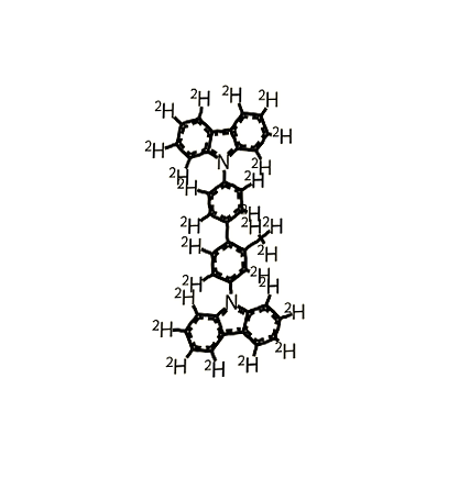 [2H]c1c([2H])c(-n2c3c([2H])c([2H])c([2H])c([2H])c3c3c([2H])c([2H])c([2H])c([2H])c32)c([2H])c([2H])c1-c1c([2H])c([2H])c(-n2c3c([2H])c([2H])c([2H])c([2H])c3c3c([2H])c([2H])c([2H])c([2H])c32)c([2H])c1C([2H])([2H])[2H]